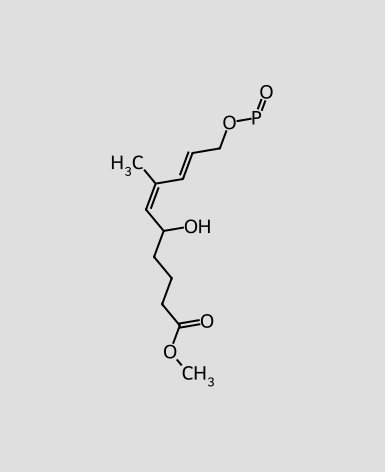 COC(=O)CCCC(O)/C=C(C)\C=C\COP=O